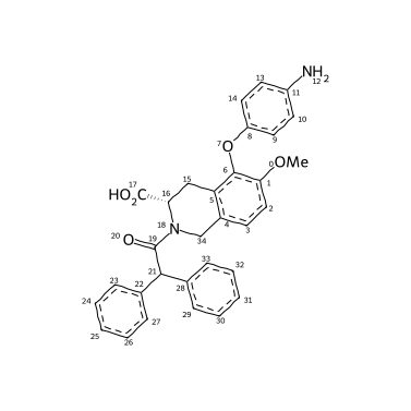 COc1ccc2c(c1Oc1ccc(N)cc1)C[C@@H](C(=O)O)N(C(=O)C(c1ccccc1)c1ccccc1)C2